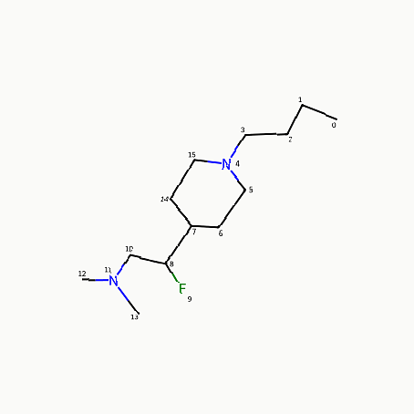 CCCCN1CCC(C(F)CN(C)C)CC1